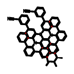 CCC(C)[C@H](C)C(C)N(c1cc2c3c(c1)N(c1c(-c4ccccc4)cccc1-c1ccccc1)c1ccc(-c4cccc(C#N)c4)cc1B3c1cc(-c3cccc(C#N)c3)ccc1N2c1c(-c2ccccc2)cccc1-c1ccccc1)C(C)C